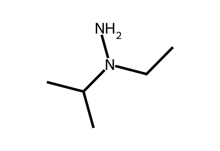 CCN(N)C(C)C